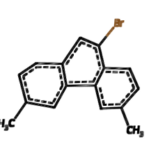 Cc1ccc2cc(Br)c3ccc(C)cc3c2c1